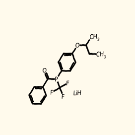 CCC(C)Oc1ccc(P(C(=O)c2ccccc2)C(F)(F)F)cc1.[LiH]